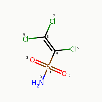 NS(=O)(=O)C(Cl)=C(Cl)Cl